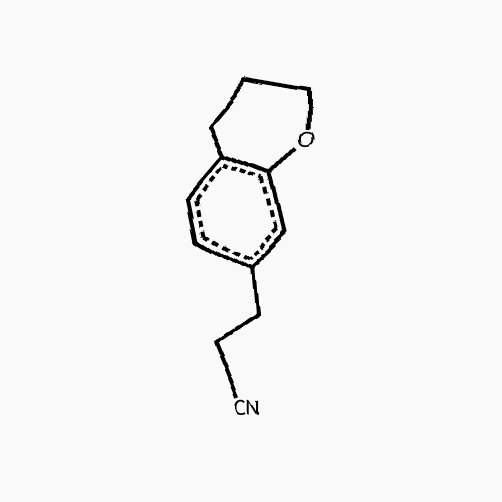 N#CCCc1ccc2c(c1)OCCC2